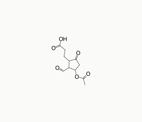 CC(=O)OC1CC(=O)C(CCC(=O)O)C1C=O